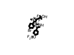 Cn1nc(C(F)(F)C(C)(C)O)cc1-c1ccc(Br)cc1N1NNC=C1c1ccc(OC(F)(F)F)cc1